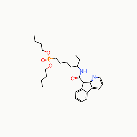 CCCCOP(=O)(CCCCC(CC)NC(=O)C1c2ccccc2-c2cccnc21)OCCCC